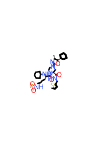 C[C@@H]1N=C(N2CCN(C(=O)[C@@H](CCCCNS(C)(=O)=O)NC3CCCCC3)[C@H](C(=O)NCc3cccs3)C2)O[C@@H]1c1ccccc1